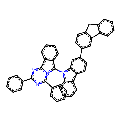 c1ccc(-c2nc(-c3ccccc3)n3c(-n4c5ccccc5c5ccc(-c6ccc7c(c6)-c6ccccc6C7)cc54)c4ccccc4c3n2)cc1